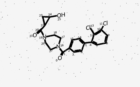 O=C(c1ccc(-c2cccc(Cl)c2Cl)cc1)N1CCN(C(=O)C2CC2O)CC1